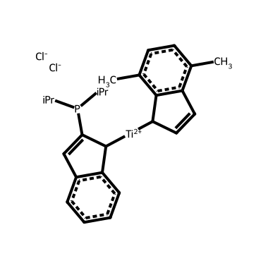 Cc1ccc(C)c2c1C=C[CH]2[Ti+2][CH]1C(P(C(C)C)C(C)C)=Cc2ccccc21.[Cl-].[Cl-]